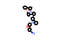 N#Cc1ccc2oc3ccc(-n4c5ccccc5c5cc(-c6cccc7c6c6ccccc6n7-c6cccc7c6oc6ccccc67)ccc54)cc3c2c1